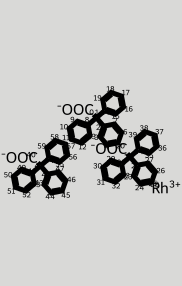 O=C([O-])C(c1ccccc1)(c1ccccc1)c1ccccc1.O=C([O-])C(c1ccccc1)(c1ccccc1)c1ccccc1.O=C([O-])C(c1ccccc1)(c1ccccc1)c1ccccc1.[Rh+3]